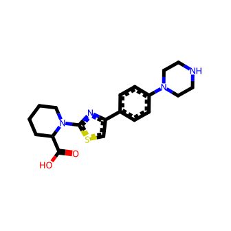 O=C(O)C1CCCCN1c1nc(-c2ccc(N3CCNCC3)cc2)cs1